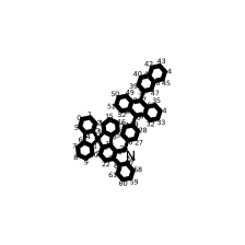 c1ccc2c(c1)-c1ccccc1C21c2ccccc2-c2c1ccc1c2c(-c2ccc(-c3c4ccccc4c(-c4ccc5ccccc5c4)c4ccccc34)cc2)nc2ccccc21